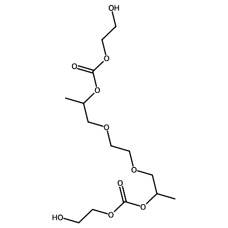 CC(COCCOCC(C)OC(=O)OCCO)OC(=O)OCCO